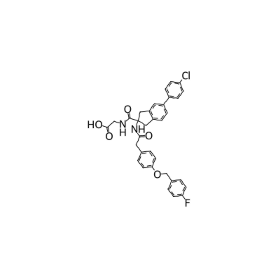 O=C(O)CNC(=O)C1(NC(=O)Cc2ccc(OCc3ccc(F)cc3)cc2)Cc2ccc(-c3ccc(Cl)cc3)cc2C1